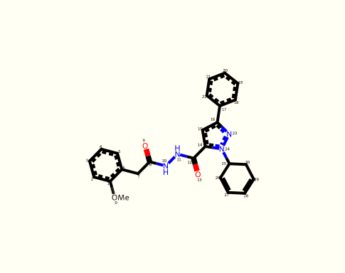 COc1ccccc1CC(=O)NNC(=O)c1cc(-c2ccccc2)nn1C1C=CC=CC1